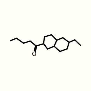 CCCCC(=O)C1CCC2CC(CC)CCC2C1